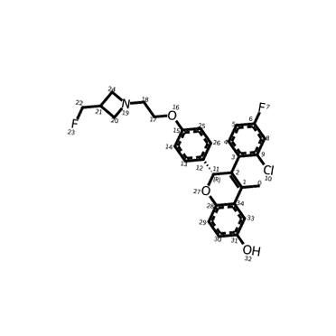 CC1=C(c2ccc(F)cc2Cl)[C@@H](c2ccc(OCCN3CC(CF)C3)cc2)Oc2ccc(O)cc21